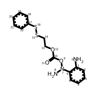 Nc1ccccc1N(N)OC(=O)OCCSSc1ccccc1